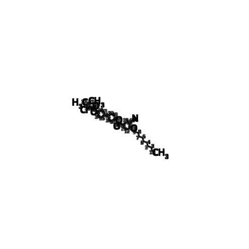 CCCCCCCCCCOc1ccc(C(=O)Oc2ccc(-c3ccc(OC(=O)C(Cl)C(C)C)cc3)cc2)cc1C#N